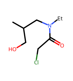 CCN(CC(C)CO)C(=O)CCl